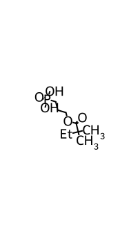 CCC(C)(C)C(=O)OCCCP(=O)(O)O